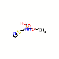 CCCCOCCP(=O)(CCO)NCCCSSc1ccccn1